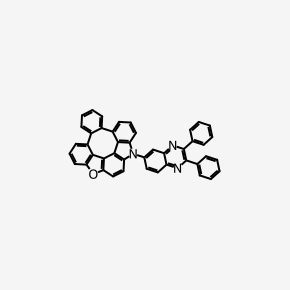 c1ccc(-c2nc3ccc(-n4c5cccc6c7ccccc7c7cccc8oc9ccc4c(c9c87)c65)cc3nc2-c2ccccc2)cc1